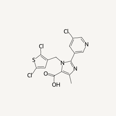 Cc1nc(-c2cncc(Cl)c2)n(Cc2cc(Cl)sc2Cl)c1C(=O)O